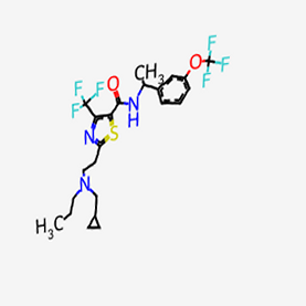 CCCN(CCc1nc(C(F)(F)F)c(C(=O)NC(C)c2cccc(OC(F)(F)F)c2)s1)CC1CC1